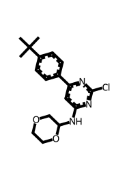 CC(C)(C)c1ccc(-c2cc(NC3COCCO3)nc(Cl)n2)cc1